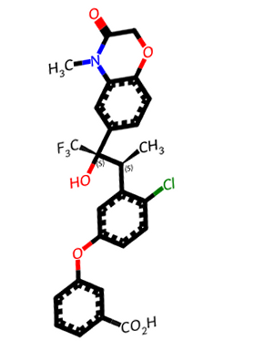 C[C@@H](c1cc(Oc2cccc(C(=O)O)c2)ccc1Cl)[C@](O)(c1ccc2c(c1)N(C)C(=O)CO2)C(F)(F)F